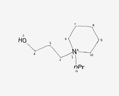 CCC[N+]1(CCCO)CCCCC1